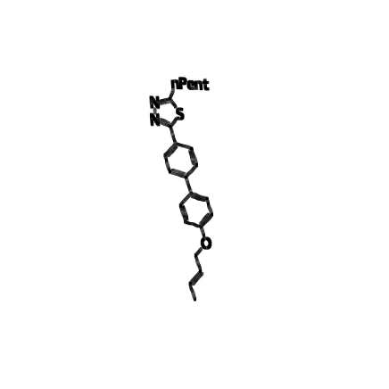 CC=CCOc1ccc(-c2ccc(-c3nnc(CCCCC)s3)cc2)cc1